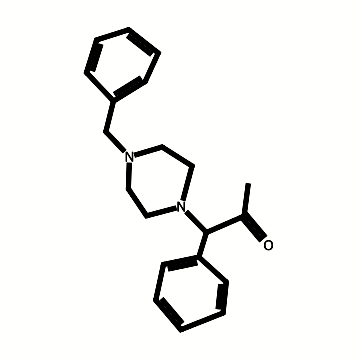 CC(=O)C(c1ccccc1)N1CCN(Cc2ccccc2)CC1